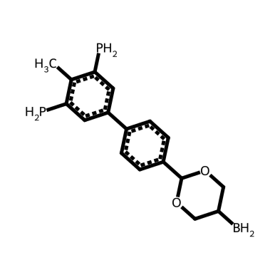 BC1COC(c2ccc(-c3cc(P)c(C)c(P)c3)cc2)OC1